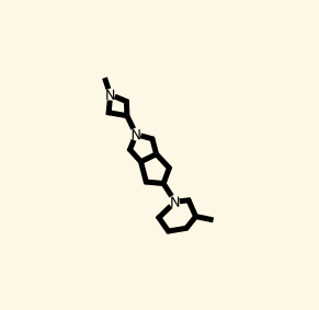 CC1CCCN(C2CC3CN(C4CN(C)C4)CC3C2)C1